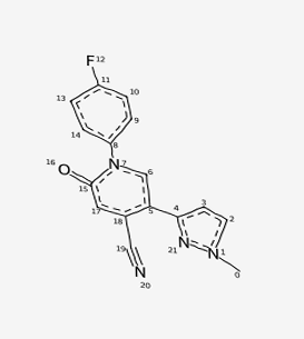 Cn1ccc(-c2cn(-c3ccc(F)cc3)c(=O)cc2C#N)n1